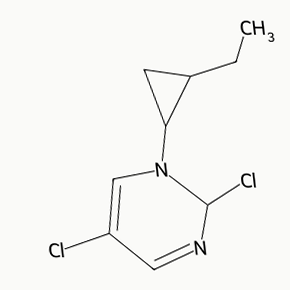 CCC1CC1N1C=C(Cl)C=NC1Cl